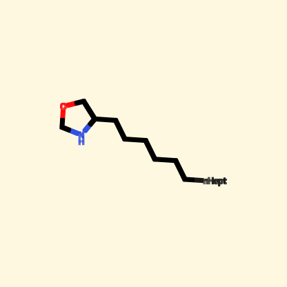 CCCCCCCCCCCCCC1COCN1